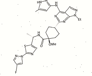 CCn1ncc2c(Nc3cc(C)[nH]n3)nc([C@H]3CC[C@@](OC)(C(=O)N[C@@H](C)c4cnc(-n5cc(F)cn5)s4)CC3)nc21